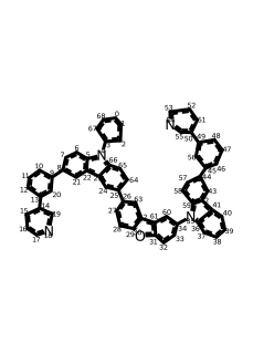 c1ccc(-n2c3ccc(-c4cccc(-c5cccnc5)c4)cc3c3cc(-c4ccc5oc6ccc(-n7c8ccccc8c8cc(-c9cccc(-c%10cccnc%10)c9)ccc87)cc6c5c4)ccc32)cc1